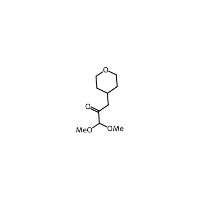 COC(OC)C(=O)CC1CCOCC1